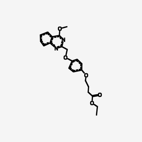 CCOC(=O)CCCOc1ccc(OCc2nc(OC)c3ccccc3n2)cc1